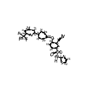 N#Cc1cc(S(=O)(=O)Nc2nccs2)ccc1Oc1ccc(-c2cccc(C(F)(F)F)n2)cc1